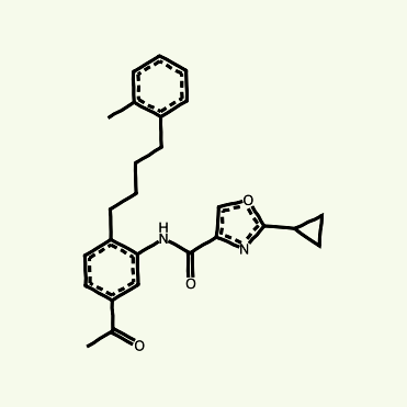 CC(=O)c1ccc(CCCCc2ccccc2C)c(NC(=O)c2coc(C3CC3)n2)c1